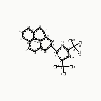 ClC(Cl)(Cl)c1nc(-c2cc3ccc4cccc5ccc(c2)c3c45)nc(C(Cl)(Cl)Cl)n1